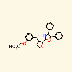 O=C(O)COc1cccc(CC2CCOC2c2nc(-c3ccccc3)c(-c3ccccc3)o2)c1